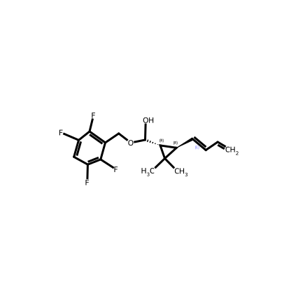 C=C/C=C/[C@@H]1[C@@H](C(O)OCc2c(F)c(F)cc(F)c2F)C1(C)C